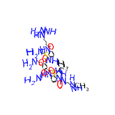 CCCSc1c(NC(=O)NCCCNC(C)=N)cccc1NC(=O)c1cc(C(=O)Nc2cccc(NC(=O)CCCCNC(=N)N)c2SCCN)c(OCCN)cc1OCCN